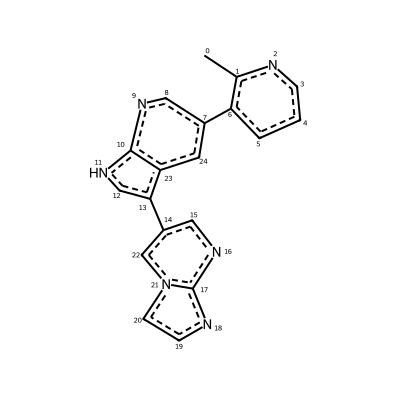 Cc1ncccc1-c1cnc2[nH]cc(-c3cnc4nccn4c3)c2c1